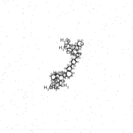 COC(=O)N[C@H](C(=O)N1C[C@]2(CCCOC2)C[C@H]1c1ncc(-c2ccc(-c3ccc4c(c3)CCCc3nc([C@@H]5C[C@@H]6CCCC[C@@H]6N5C(=O)[C@@H](NC(=O)OC)C(C)C)[nH]c3-4)cc2)[nH]1)C(C)C